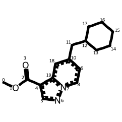 COC(=O)c1cnn2ccc(CC3CCCCC3)cc12